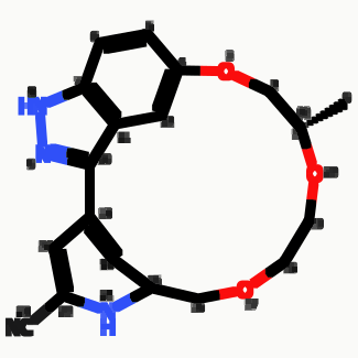 C[C@H]1COc2ccc3[nH]nc(c3c2)C2=CC(COCCO1)NC(C#N)=C2